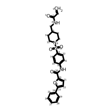 C=CC(=O)NCC1CCN(S(=O)(=O)c2ccc(NC(=O)c3ccc(-c4ccccc4)o3)cc2)CC1